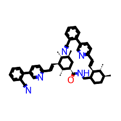 C[C@@H]1[C@@H](/C=C/c2ccc(-c3ccccc3C#N)cn2)[C@H](C)[C@@H](C)C[C@@H]1C(=O)NCC1CC[C@H](C)[C@@H](C)[C@@H]1/C=C/c1ccc(-c2ccccc2C#N)cn1